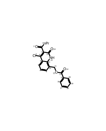 CCCC(=O)c1c(Cl)c2cccc(COC(=O)c3ccccc3)c2[nH]c1=O